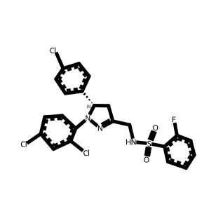 O=S(=O)(NCC1=NN(c2ccc(Cl)cc2Cl)[C@H](c2ccc(Cl)cc2)C1)c1ccccc1F